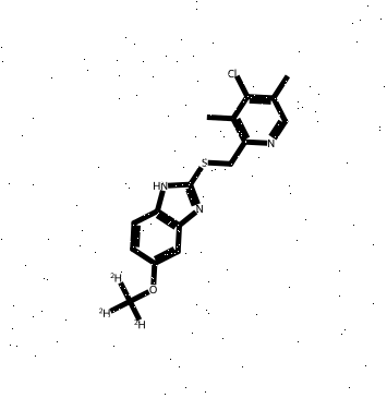 [2H]C([2H])([2H])Oc1ccc2[nH]c(SCc3ncc(C)c(Cl)c3C)nc2c1